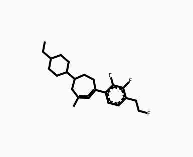 CCC1CCC(C2CCC(c3ccc(CCF)c(F)c3F)=C=C(C)C2)CC1